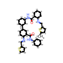 Cc1ccc(/C=N/c2ccccc2C(=O)Nc2cccc(-c3ccc(/N=C/c4cccs4)c(C(=O)Nc4ccccc4)c3)c2)s1